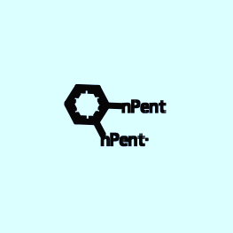 CCCC[CH]c1ccccc1CCCCC